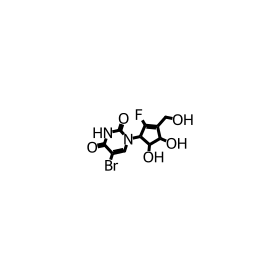 O=c1[nH]c(=O)n(C2C(F)=C(CO)C(O)C2O)cc1Br